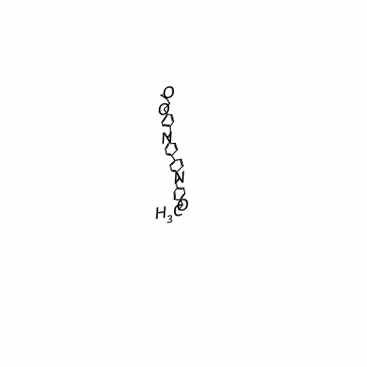 COc1ccc(C=Nc2ccc(-c3ccc(N=Cc4ccc(OCC5CO5)cc4)cc3)cc2)cc1